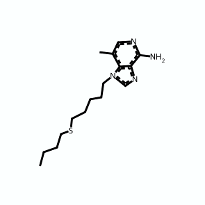 CCCCSCCCCCn1cnc2c(N)ncc(C)c21